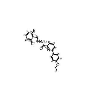 CCOc1ccc(-c2cccc(C(=O)N/N=C/c3c(F)cccc3Cl)n2)cc1